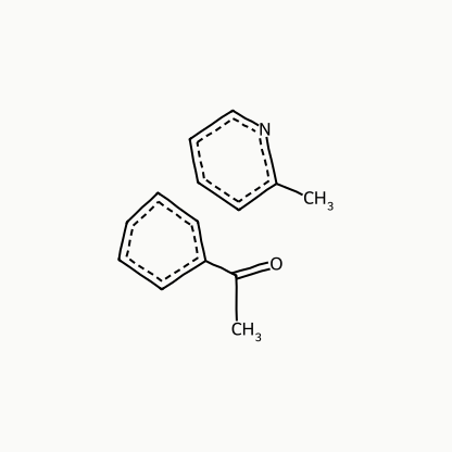 CC(=O)c1ccccc1.Cc1ccccn1